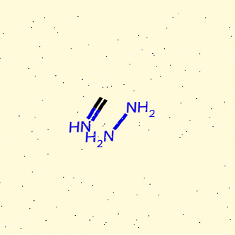 C=N.NN